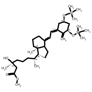 C=C1/C(=C\C=C2CCC[C@@]3(C)C2CC[C@@H]3[C@H](C)CCC[C@](C)(O)CC(=O)OC)C[C@@H](O[Si](C)(C)C)C[C@H]1O[Si](C)(C)C